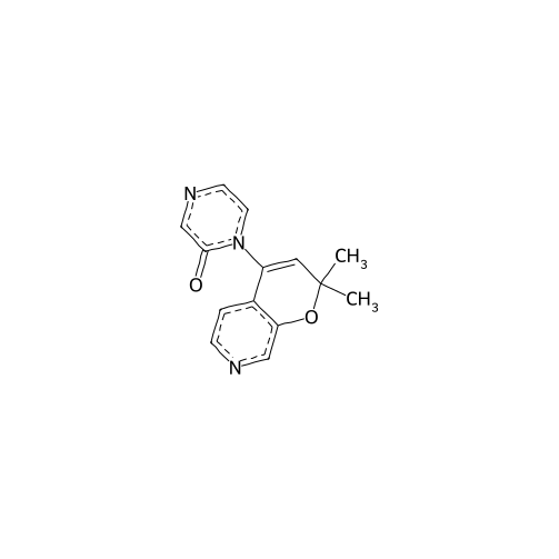 CC1(C)C=C(n2ccncc2=O)c2ccncc2O1